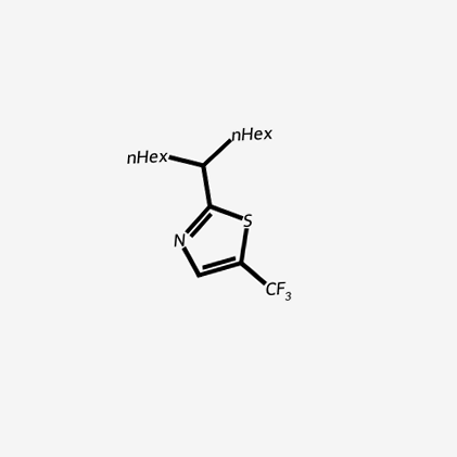 CCCCCCC(CCCCCC)c1ncc(C(F)(F)F)s1